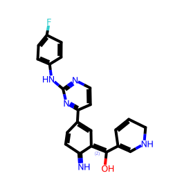 N=C1C=CC(c2ccnc(Nc3ccc(F)cc3)n2)=C/C1=C(/O)C1=CNCC=C1